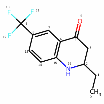 CCC1CC(=O)c2cc(C(F)(F)F)ccc2N1